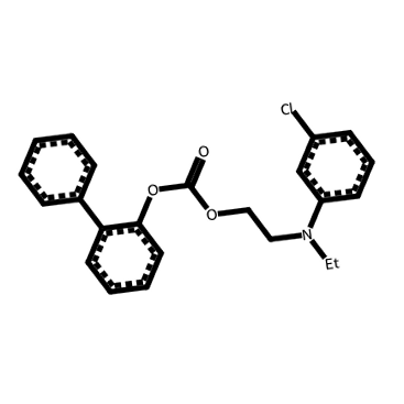 CCN(CCOC(=O)Oc1ccccc1-c1ccccc1)c1cccc(Cl)c1